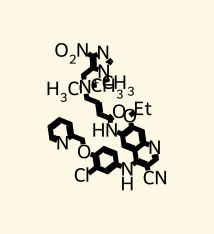 CCOc1cc2ncc(C#N)c(Nc3ccc(OCc4ccccn4)c(Cl)c3)c2cc1NC(=O)/C=C/C[N+](C)(C)Cc1c([N+](=O)[O-])ncn1C